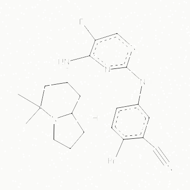 CC1(C)C[C@H](Nc2nc(Nc3ccc(Br)c(C#N)c3)ncc2F)C[C@H]2CCCN21